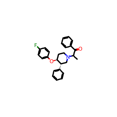 CC(C(=O)c1ccccc1)N1CC[C@H](Oc2ccc(F)cc2)[C@@H](c2ccccc2)C1